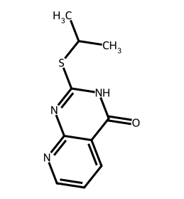 CC(C)Sc1nc2ncccc2c(=O)[nH]1